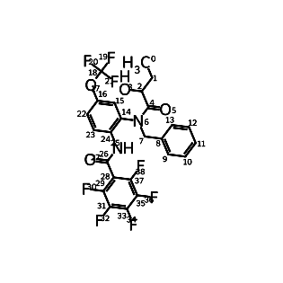 CCC(O)C(=O)N(Cc1ccccc1)c1cc(OC(F)(F)F)ccc1NC(=O)c1c(F)c(F)c(F)c(F)c1F